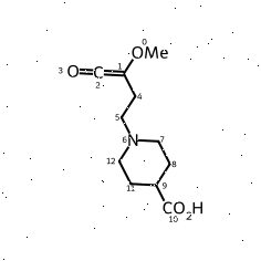 COC(=C=O)CCN1CCC(C(=O)O)CC1